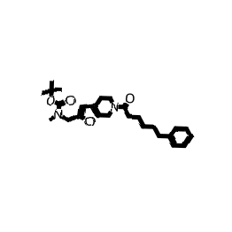 CN(Cc1cc2c(o1)CN(C(=O)CCCCCc1ccccc1)CC2)C(=O)OC(C)(C)C